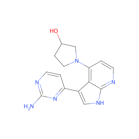 Nc1nccc(-c2c[nH]c3nccc(N4CCC(O)C4)c23)n1